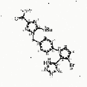 CCCCc1nc(C(=O)CCC)nn1Cc1ccc(-n2ccc(Br)c2-c2nnn[nH]2)cc1